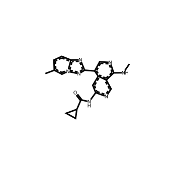 CNc1ncc(-c2nc3ccc(C)cn3n2)c2cc(NC(=O)C3CC3)ncc12